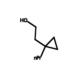 CCCC1(CCO)CC1